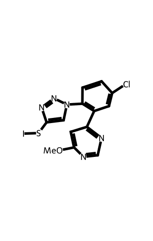 COc1cc(-c2cc(Cl)ccc2-n2cc(SI)nn2)ncn1